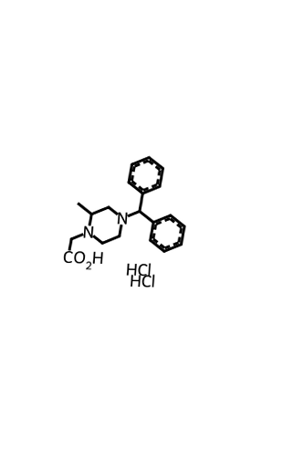 CC1CN(C(c2ccccc2)c2ccccc2)CCN1CC(=O)O.Cl.Cl